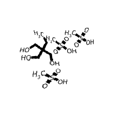 CCC(CO)(CO)CO.CS(=O)(=O)O.CS(=O)(=O)O.CS(=O)(=O)O